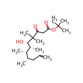 C=CC[C@H](C)[C@H](C)[C@@H](C)[C@H](O)C(C)(C)C(=O)CC(=O)OC(C)(C)C